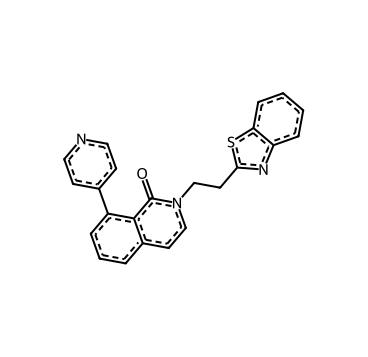 O=c1c2c(-c3ccncc3)cccc2ccn1CCc1nc2ccccc2s1